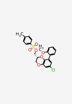 COc1ccccc1-c1cc(Cl)cc2c1O[C@@H](COS(=O)(=O)c1ccc(C)cc1)CO2